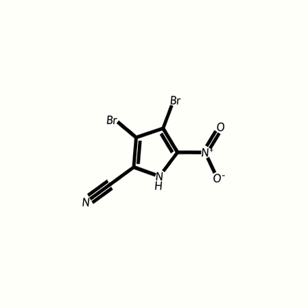 N#Cc1[nH]c([N+](=O)[O-])c(Br)c1Br